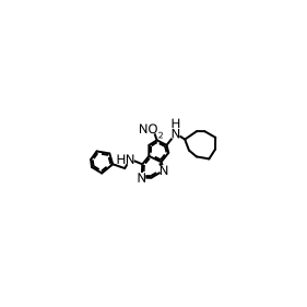 O=[N+]([O-])c1cc2c(NCc3ccccc3)ncnc2cc1NC1CCCCCCC1